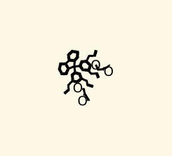 C=CCc1cc(C2(c3cc(CC=C)c(OCC4CO4)c(CC=C)c3)c3ccccc3-c3ccccc32)cc(CC=C)c1OCC1CO1